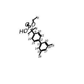 CCOP(=O)(O)C(C)(C)c1ccc(-c2cc(C)cc(C)c2)cc1